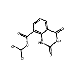 O=C(OC(Cl)Cl)c1cccc2c(=O)[nH]c(=O)[nH]c12